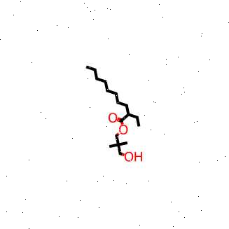 CCCCCCCCC(CC)C(=O)OCC(C)(C)CO